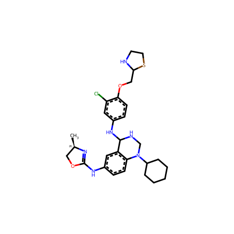 C[C@@H]1COC(Nc2ccc3c(c2)C(Nc2ccc(OCC4NCCS4)c(Cl)c2)NCN3C2CCCCC2)=N1